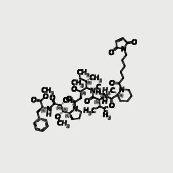 CC[C@H](C)C([C@@H](CC(=O)N1CCC[C@H]1[C@H](OC)[C@@H](C)C(=O)N[C@@H](Cc1ccccc1)C(=O)OC)OC)N(C)C(=O)[C@@H](NC(=O)[C@]1(C)CCCCN1C(=O)CCCCCN1C(=O)C=CC1=O)C(C)C